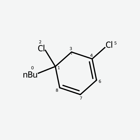 CCCCC1(Cl)[CH]C(Cl)=CC=C1